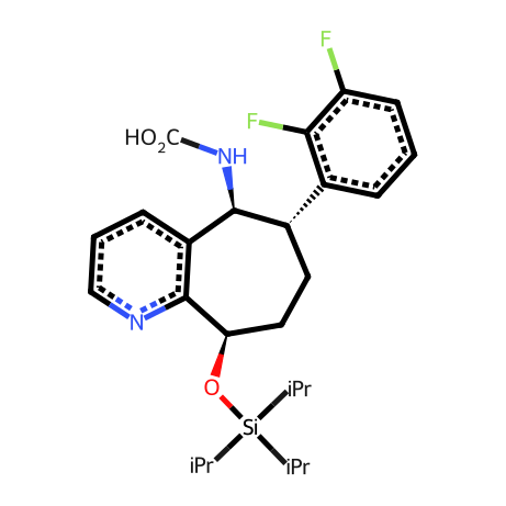 CC(C)[Si](O[C@@H]1CC[C@@H](c2cccc(F)c2F)[C@H](NC(=O)O)c2cccnc21)(C(C)C)C(C)C